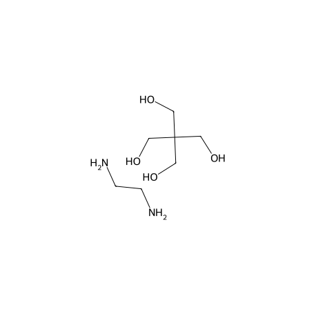 NCCN.OCC(CO)(CO)CO